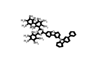 Bc1c(B)c(B)c(-c2nc(-c3ccc4c(c3)oc3ccc(-n5c6ccccc6c6ccc(-c7ccccc7)cc65)cc34)nc(-c3c(B)c(B)c(B)c(-c4c(B)c(B)c(B)c(B)c4B)c3B)n2)c(B)c1B